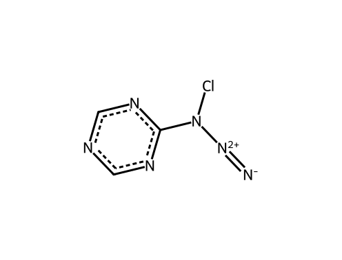 [N-]=[N+2]N(Cl)c1ncncn1